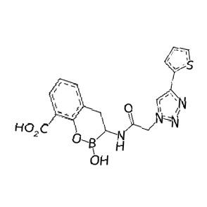 O=C(Cn1cc(-c2cccs2)nn1)NC1Cc2cccc(C(=O)O)c2OB1O